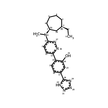 CC[C@@H]1CCCC[C@H](N(C)c2ccc(-c3ccc(-c4nnn[nH]4)cc3O)nn2)C1